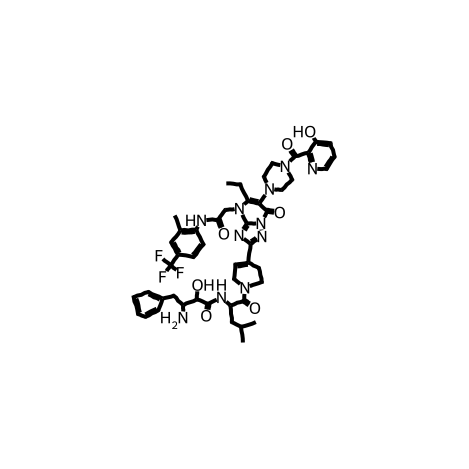 CCc1c(N2CCN(C(=O)c3ncccc3O)CC2)c(=O)n2nc(C3=CCN(C(=O)C(CC(C)C)NC(=O)C(O)C(N)Cc4ccccc4)CC3)nc2n1CC(=O)Nc1ccc(C(F)(F)F)cc1C